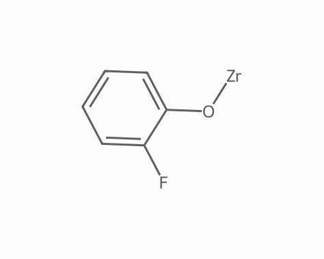 Fc1ccccc1[O][Zr]